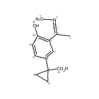 CC(=O)O/N=C(/C)c1cc(C2(C(=O)O)CC2)ccc1O